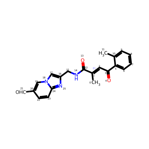 C/C(=C\C(=O)c1ccccc1C)C(=O)NCc1cn2cc(C=O)ccc2n1